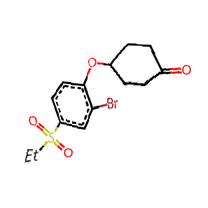 CCS(=O)(=O)c1ccc(OC2CCC(=O)CC2)c(Br)c1